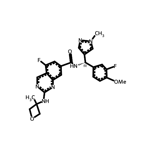 COc1ccc([C@H](NC(=O)c2cc(F)c3cnc(NC4(C)COC4)nc3c2)c2cnn(C)c2)cc1F